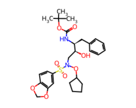 CC(C)(C)OC(=O)N[C@@H](Cc1ccccc1)[C@@H](O)CN(OC1CCCC1)S(=O)(=O)c1ccc2c(c1)OCO2